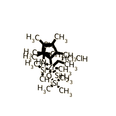 C[CH2][Zr]([CH3])(=[SiH2])([NH]C(C)(C)C)([O][Si](C)(C)C)([C]1=C(C)C(C)=C(C)C1C)[SiH](C)C.Cl.Cl